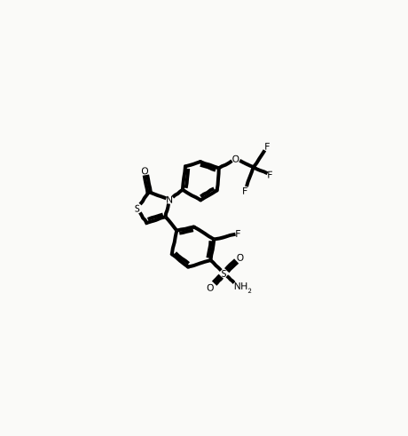 NS(=O)(=O)c1ccc(-c2csc(=O)n2-c2ccc(OC(F)(F)F)cc2)cc1F